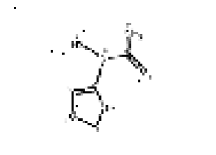 NC(=O)N(S)C1=COCO1